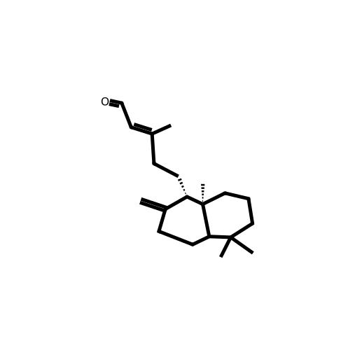 C=C1CCC2C(C)(C)CCC[C@]2(C)[C@H]1CC/C(C)=C/C=O